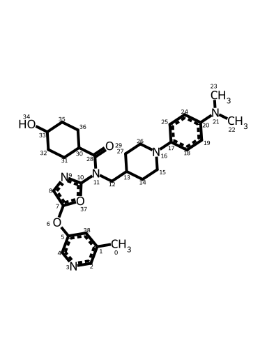 Cc1cncc(Oc2cnc(N(CC3CCN(c4ccc(N(C)C)cc4)CC3)C(=O)C3CCC(O)CC3)o2)c1